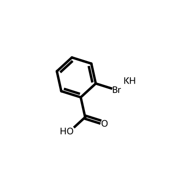 O=C(O)c1ccccc1Br.[KH]